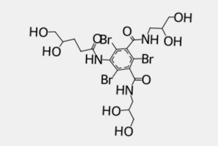 O=C(CCC(O)CO)Nc1c(Br)c(C(=O)NCC(O)CO)c(Br)c(C(=O)NCC(O)CO)c1Br